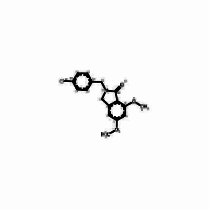 COc1cc2c(c(OC)c1)C(=O)N(Cc1ccc(Cl)cc1)C2